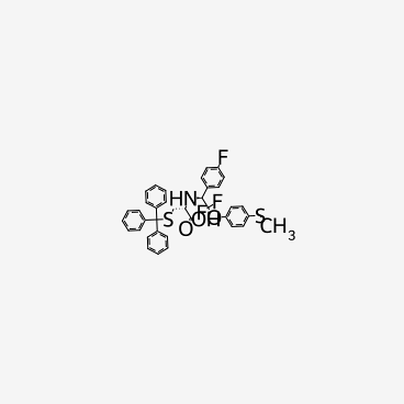 CSc1ccc(OC(F)(F)[C@@H](N[C@@H](CSC(c2ccccc2)(c2ccccc2)c2ccccc2)C(=O)O)c2ccc(F)cc2)cc1